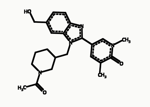 CC(=O)N1CCCC(Cn2c(-c3cc(C)c(=O)n(C)c3)nc3ccc(CO)cc32)C1